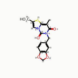 Cc1c(=O)n(Cc2ccc3c(c2)OCO3)c(=O)n2cc(C(=O)O)sc12